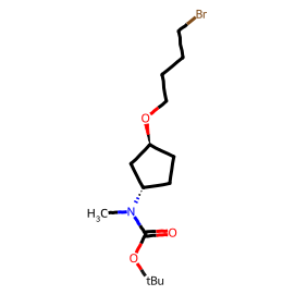 CN(C(=O)OC(C)(C)C)[C@H]1CC[C@H](OCCCCBr)C1